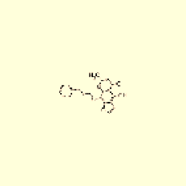 Cc1cc(=O)c2c(O)c3ccoc3c(OCCCc3ccccc3)c2o1